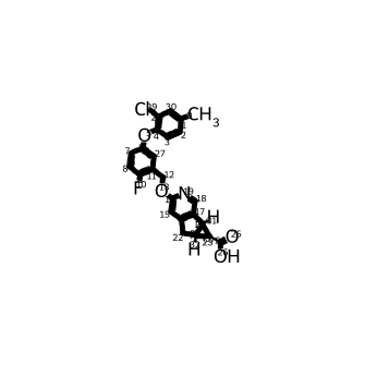 Cc1ccc(Oc2ccc(F)c(COc3cc4c(cn3)[C@H]3[C@@H](C4)[C@@H]3C(=O)O)c2)c(Cl)c1